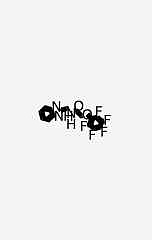 O=C(COc1c(F)c(F)c(F)c(F)c1F)NCc1nc2ccccc2[nH]1